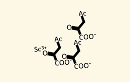 CC(=O)CC(=O)C(=O)[O-].CC(=O)CC(=O)C(=O)[O-].CC(=O)CC(=O)C(=O)[O-].[Sc+3]